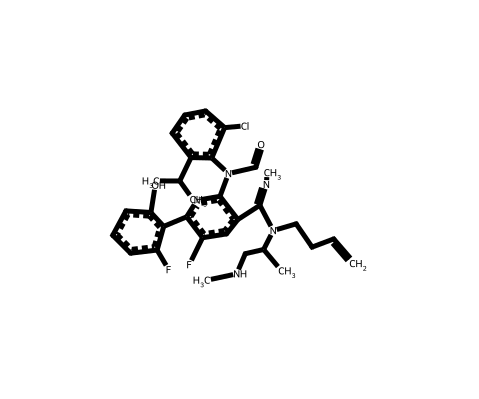 C=CCCN(/C(=N/C)c1cc(F)c(-c2c(O)cccc2F)nc1N(C=O)c1c(Cl)cccc1C(C)C)C(C)CNC